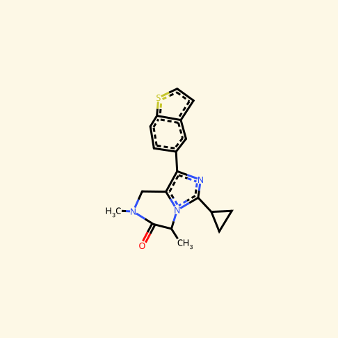 CC1C(=O)N(C)Cc2c(-c3ccc4sccc4c3)nc(C3CC3)n21